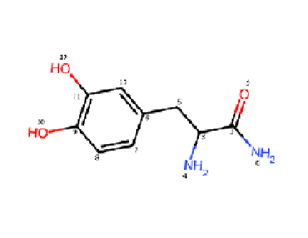 NC(=O)C(N)Cc1ccc(O)c(O)c1